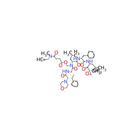 C#CCN(C)C(=O)CCC(=O)OCN(C(=O)[C@H](CCc1ccccc1)NC(=O)CN1CCOCC1)[C@@H](CC(C)C)C(=O)N[C@@H](Cc1ccccc1)C(=O)NC(CC(C)C)C(=O)[C@@]1(C)CO1